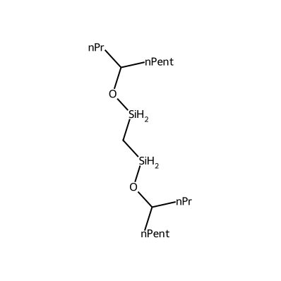 CCCCCC(CCC)O[SiH2]C[SiH2]OC(CCC)CCCCC